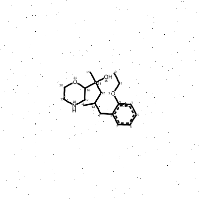 CCOc1ccccc1CC(C)CC(C)(O)C1CNCCO1